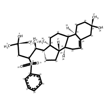 C[C@H](C(C[C@](C)(O)C(F)(F)F)S(=O)(=O)c1ccccc1)[C@H]1CC[C@H]2[C@@H]3CC=C4C[C@@](C)(O)CC[C@@H]4C3CC[C@]12C